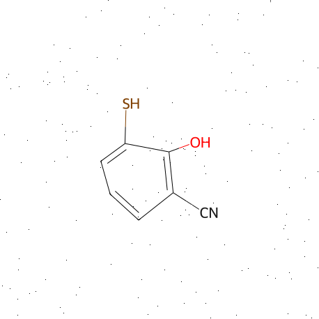 N#Cc1cccc(S)c1O